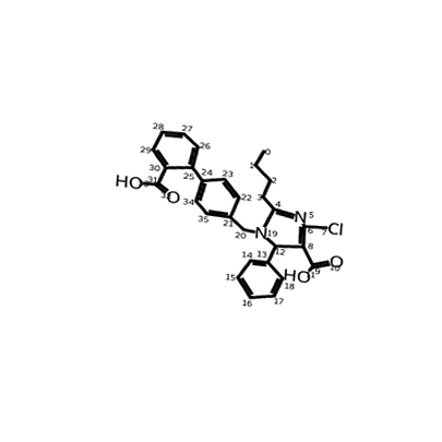 CCCCC1=NC(Cl)=C(C(=O)O)C(c2ccccc2)N1Cc1ccc(-c2ccccc2C(=O)O)cc1